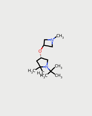 CN1CC(O[C@@H]2CN(C(C)(C)C)C(C)(C)C2)C1